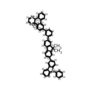 CC1(C)c2cc(-c3cccc(-c4ccc5c(c4)-c4ccccc4C4N=CC=NC54C)c3)ccc2-c2ccc(-c3ccc4c(c3)c3ccccc3n4-c3ccccc3)cc21